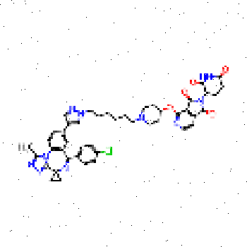 Cc1nnc2n1-c1ccc(-c3cnn(CCCCCCN4CCC(Oc5nccc6c5C(=O)N(C5CCC(=O)NC5=O)C6=O)CC4)c3)cc1C(c1ccc(Cl)cc1)=NC21CC1